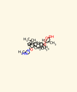 C=C1CN(C(=O)C[C@]23CC[C@@H](C(=C)C)[C@@H]2[C@H]2CC[C@@H]4[C@@]5(C)CC[C@H](OC(=O)CC(C)(C)CC(=O)O)C(C)(C)[C@@H]5CC[C@@]4(C)[C@]2(C)CC3)CCN1